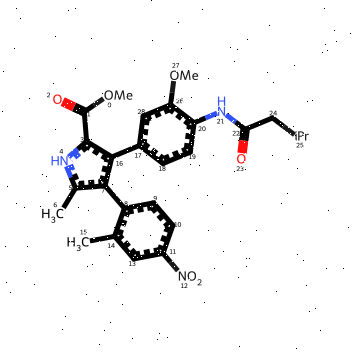 COC(=O)c1[nH]c(C)c(-c2ccc([N+](=O)[O-])cc2C)c1-c1ccc(NC(=O)CC(C)C)c(OC)c1